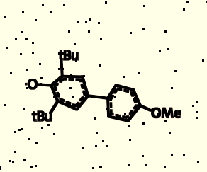 COc1ccc(-c2cc(C(C)(C)C)c([O])c(C(C)(C)C)c2)cc1